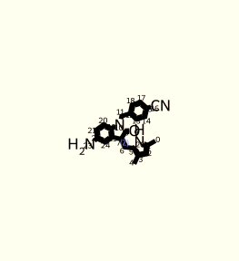 Cc1cc(C)c(/C=C2\C(=O)N(Cc3ccc(C#N)cc3)c3ccc(N)cc32)[nH]1